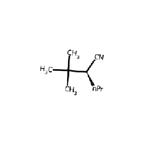 CCC[C@H](C#N)C(C)(C)C